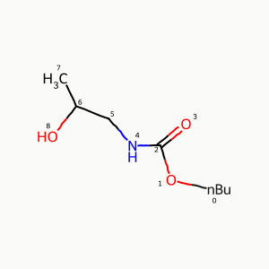 CCCCOC(=O)NCC(C)O